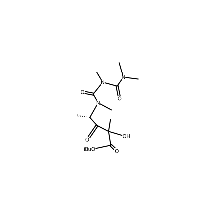 CC(C)COC(=O)C(C)(O)C(=O)[C@H](C)N(C)C(=O)N(C)C(=O)N(C)C